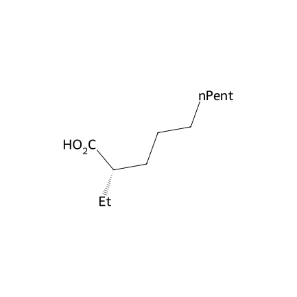 CCCCCCCC[C@H](CC)C(=O)O